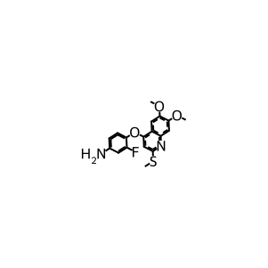 COc1cc2nc(SC)cc(OC3=C=C=C(N)C=C3F)c2cc1OC